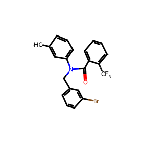 [CH]c1cccc(N(Cc2cccc(Br)c2)C(=O)c2ccccc2C(F)(F)F)c1